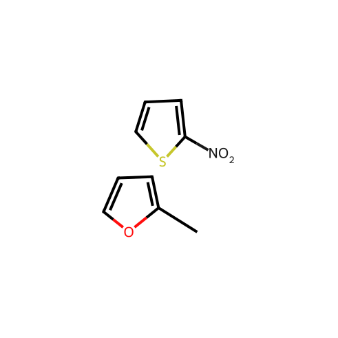 Cc1ccco1.O=[N+]([O-])c1cccs1